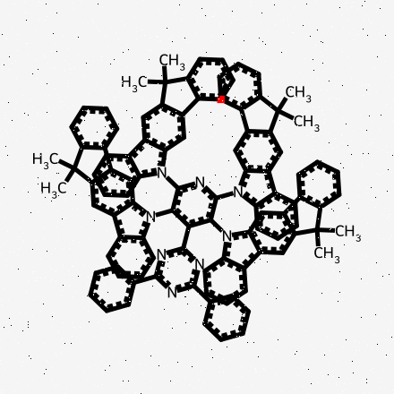 CC1(C)c2ccccc2-c2cc3c(cc21)c1ccccc1n3-c1nc(-n2c3ccccc3c3cc4c(cc32)-c2ccccc2C4(C)C)c(-n2c3ccccc3c3cc4c(cc32)-c2ccccc2C4(C)C)c(-c2nc(-c3ccccc3)nc(-c3ccccc3)n2)c1-n1c2ccccc2c2cc3c(cc21)-c1ccccc1C3(C)C